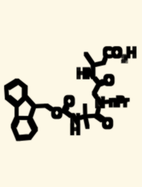 CCCN(CC(=O)NC(C)CC(=O)O)C(=O)C(C)(C)NC(=O)OCC1c2ccccc2-c2ccccc21